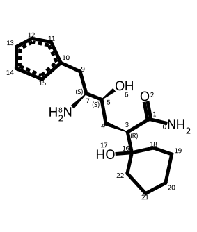 NC(=O)[C@H](C[C@H](O)[C@@H](N)Cc1ccccc1)C1(O)CCCCC1